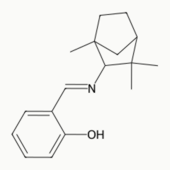 CC12CCC(C1)C(C)(C)C2/N=C/c1ccccc1O